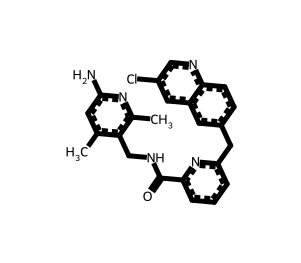 Cc1cc(N)nc(C)c1CNC(=O)c1cccc(Cc2ccc3ncc(Cl)cc3c2)n1